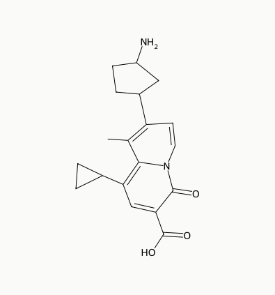 Cc1c(C2CCC(N)C2)ccn2c(=O)c(C(=O)O)cc(C3CC3)c12